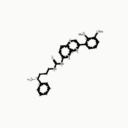 COc1cccc(-c2cnc3ccc(NC(=O)NCCC[C@@H](C)c4ccccc4)nc3n2)c1OC